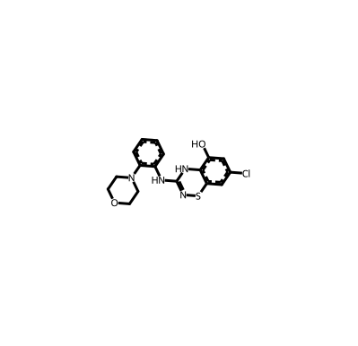 Oc1cc(Cl)cc2c1NC(Nc1ccccc1N1CCOCC1)=NS2